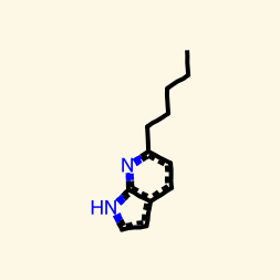 CCCCCc1ccc2cc[nH]c2n1